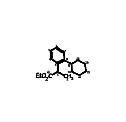 CCOC(=O)C(C)c1ccc[c]c1C1CCCCC1